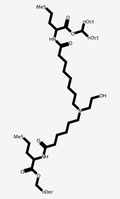 CCCCCCCCCCCOC(=O)C(CCSC)NC(=O)CCCCCN(CCO)CCCCCCCC(=O)NC(CCSC)C(=O)OC(CCCCCCCC)CCCCCCCC